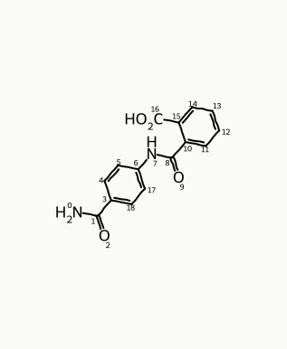 NC(=O)c1ccc(NC(=O)c2ccccc2C(=O)O)cc1